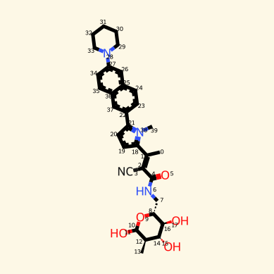 C/C(=C(/C#N)C(=O)NC[C@H]1OC(O)[C@H](C)[C@@H](O)[C@@H]1O)c1ccc(-c2ccc3cc(N4CCCCC4)ccc3c2)n1C